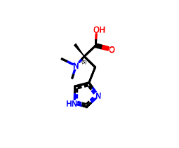 CN(C)[C@@](C)(Cc1c[nH]cn1)C(=O)O